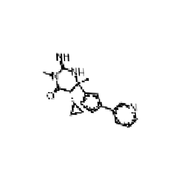 CN1C(=N)N[C@](C)(c2cc(-c3cccnc3)cs2)[C@H](C2CC2)C1=O